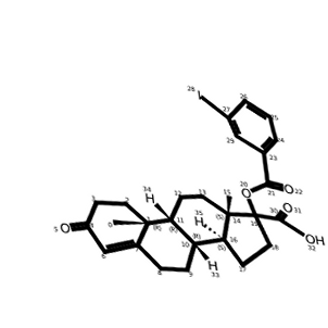 C[C@]12CCC(=O)C=C1CC[C@@H]1[C@H]2CC[C@@]2(C)[C@H]1CCC2(OC(=O)c1cccc(I)c1)C(=O)O